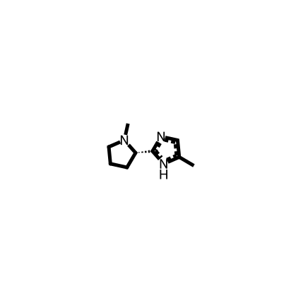 Cc1cnc([C@@H]2CCCN2C)[nH]1